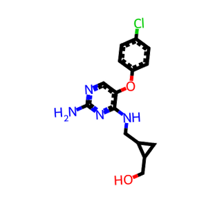 Nc1ncc(Oc2ccc(Cl)cc2)c(NCC2CC2CO)n1